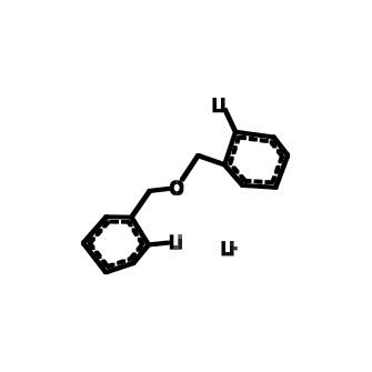 [Li].[Li][c]1ccccc1COCc1cccc[c]1[Li]